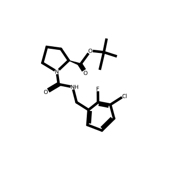 CC(C)(C)OC(=O)[C@@H]1CCCN1C(=O)NCc1cccc(Cl)c1F